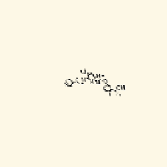 Cc1ccc(Oc2nc3nc(N4CCN(c5ccncc5)CC4)c(Cl)cc3[nH]2)cc1C(=O)O